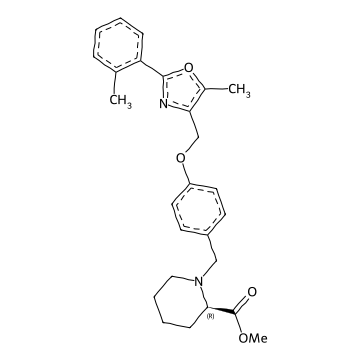 COC(=O)[C@H]1CCCCN1Cc1ccc(OCc2nc(-c3ccccc3C)oc2C)cc1